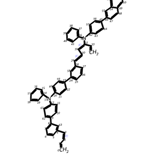 C=C/C=C\c1cccc(-c2ccc(N(c3ccccc3)c3ccc(-c4cccc(/C=C/C=C(\C=C)N(c5ccccc5)c5ccc(-c6ccc7ccccc7c6)cc5)c4)cc3)cc2)c1